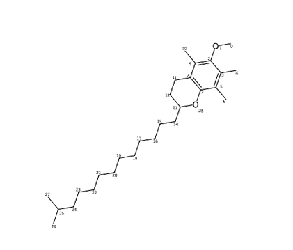 COc1c(C)c(C)c2c(c1C)CCC(CCCCCCCCCCCC(C)C)O2